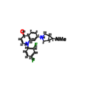 CNC1C2CN(c3ccc4c(=O)ccn(-c5ccc(F)cc5F)c4c3)CC21